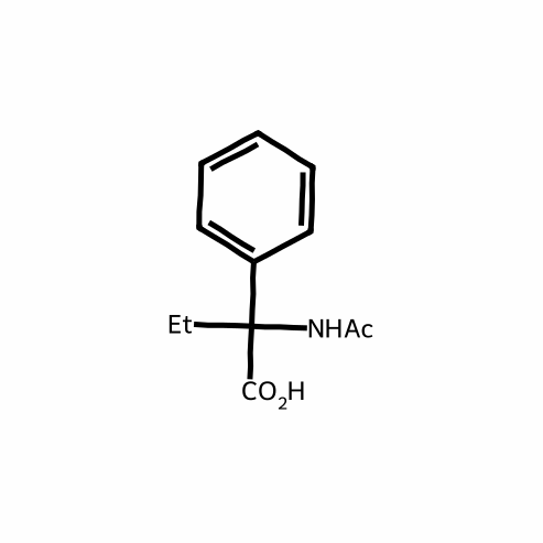 CCC(NC(C)=O)(C(=O)O)c1ccccc1